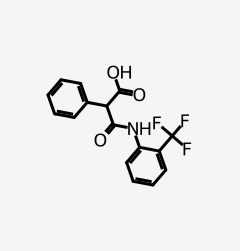 O=C(O)C(C(=O)Nc1ccccc1C(F)(F)F)c1ccccc1